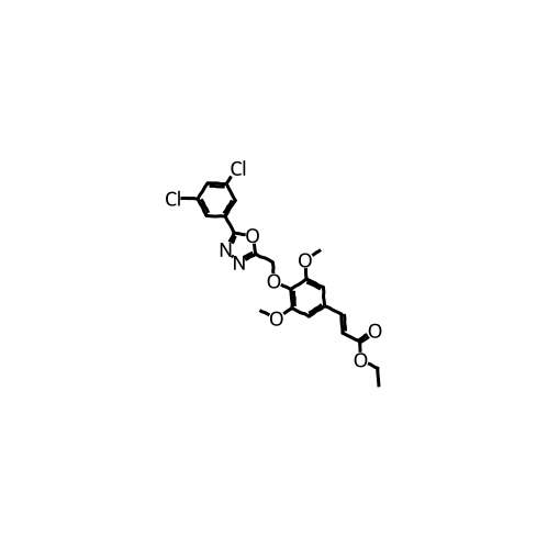 CCOC(=O)C=Cc1cc(OC)c(OCc2nnc(-c3cc(Cl)cc(Cl)c3)o2)c(OC)c1